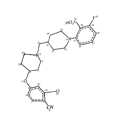 N#Cc1ccc(OC2CCN(CC3CCN(c4cccc(F)c4C(=O)O)CC3)CC2)cc1Cl